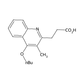 CCCCOc1c(C)c(CCC(=O)O)nc2ccccc12